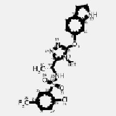 CCn1c(Oc2ccc3cc[nH]c3c2)nnc1[C@@H](C)NS(=O)(=O)c1cc(C(F)(F)F)ccc1Cl